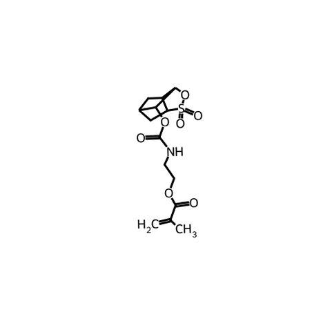 C=C(C)C(=O)OCCNC(=O)OC1C2CC3C1OS(=O)(=O)C3C2